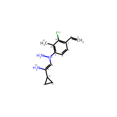 C=Cc1ccc(N(N)/C=C(\N)C2CC2)c(C)c1F